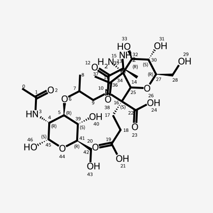 CC(=O)N[C@@H]1[C@@H](OC(C)CN(C(=O)[C@H](C)N)[C@](CCC(=O)O)(C(=O)O)C2O[C@H](CO)[C@@H](O)[C@H](O)[C@]2(N)C(C)=O)[C@H](O)[C@@H](CO)O[C@@H]1O